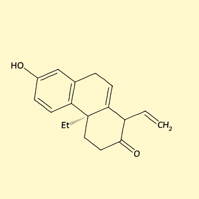 C=CC1C(=O)CC[C@]2(CC)C1=CCc1cc(O)ccc12